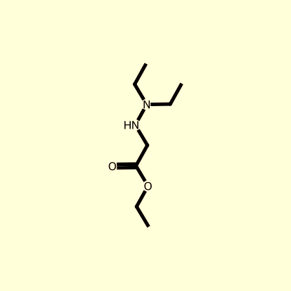 CCOC(=O)CNN(CC)CC